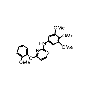 COc1ccccc1Oc1ccnc(Nc2cc(OC)c(OC)c(OC)c2)n1